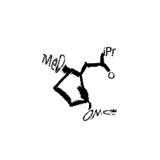 COc1ccc(OC)c(CC(=O)C(C)C)c1